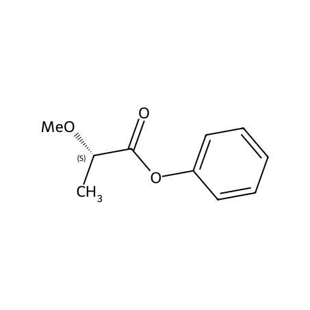 CO[C@@H](C)C(=O)Oc1ccccc1